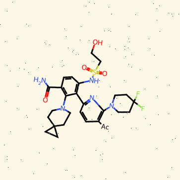 CC(=O)c1ccc(-c2c(NS(=O)(=O)CCO)ccc(C(N)=O)c2N2CCC3(CC2)CC3)nc1N1CCC(F)(F)CC1